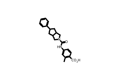 Cc1cc(NC(=O)N2CC3CC(c4ccccc4)CC3C2)ccc1C(=O)O